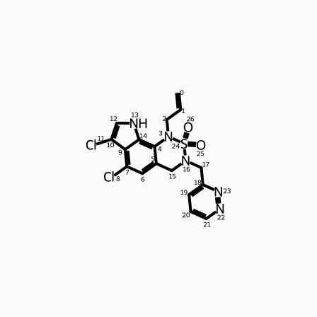 C=CCN1c2c(cc(Cl)c3c(Cl)c[nH]c23)CN(Cc2cccnn2)S1(=O)=O